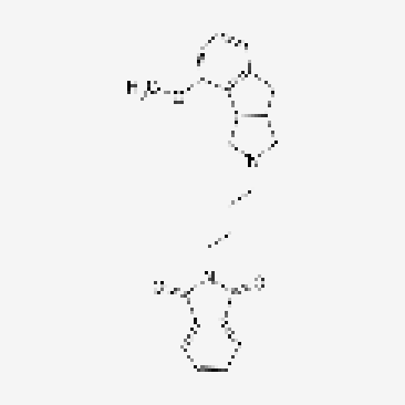 COc1cccc2c1C1CN(CCCCN3C(=O)c4ccccc4C3=O)CC1C2